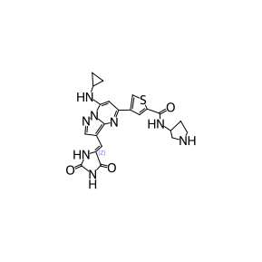 O=C1NC(=O)/C(=C/c2cnn3c(NC4CC4)cc(-c4csc(C(=O)NC5CCNC5)c4)nc23)N1